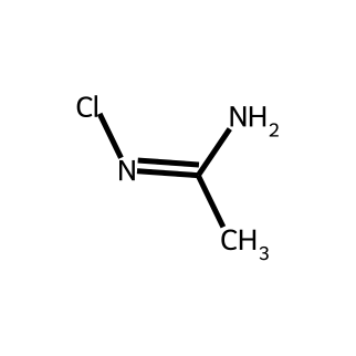 C/C(N)=N/Cl